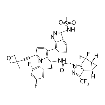 Cn1nc(NS(C)(=O)=O)c2cccc(-c3ccc(C#CC4(C)COC4)nc3[C@H](Cc3cc(F)cc(F)c3)NC(=O)Cn3nc(C(F)(F)F)c4c3C(F)(F)[C@@H]3C[C@H]43)c21